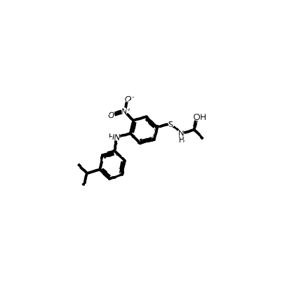 CC(O)NSc1ccc(Nc2cccc(C(C)C)c2)c([N+](=O)[O-])c1